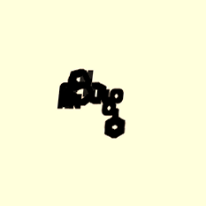 O=C(OCc1ccccc1)N1CCN2c3ncccc3S(=O)(=O)NCC2C1